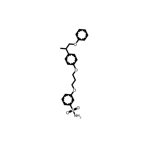 CC(COc1ccccc1)c1ccc(OCCCOc2cccc(S(N)(=O)=O)c2)cc1